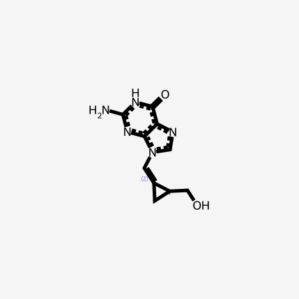 Nc1nc2c(ncn2/C=C2/C[C]2CO)c(=O)[nH]1